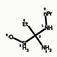 CCCNC(N)(CC)[SiH2][O]